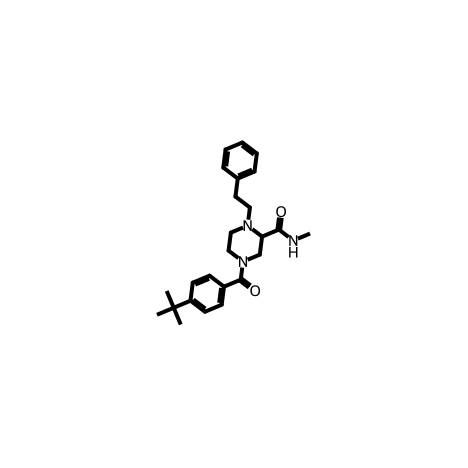 CNC(=O)C1CN(C(=O)c2ccc(C(C)(C)C)cc2)CCN1CCc1ccccc1